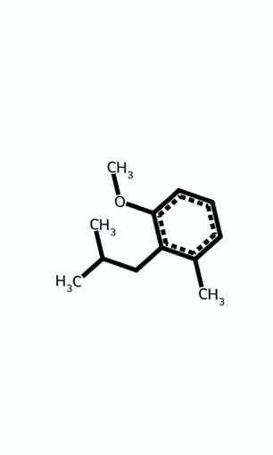 COc1cccc(C)c1CC(C)C